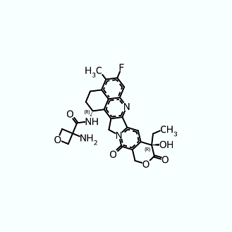 CC[C@]1(O)C(=O)OCc2c1cc1n(c2=O)Cc2c-1nc1cc(F)c(C)c3c1c2[C@H](NC(=O)C1(N)COC1)CC3